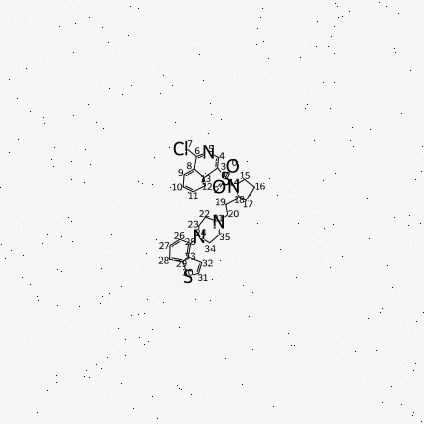 O=S(=O)(c1cnc(Cl)c2ccccc12)N1CCCC1CCN1CCN(c2cccc3sccc23)CC1